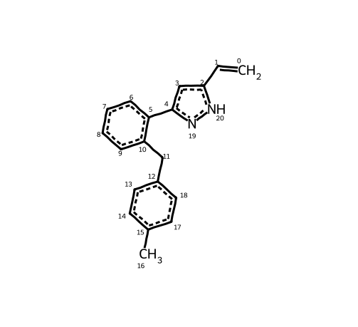 C=Cc1cc(-c2ccccc2Cc2ccc(C)cc2)n[nH]1